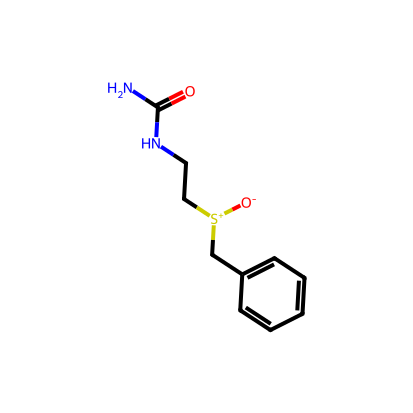 NC(=O)NCC[S+]([O-])Cc1ccccc1